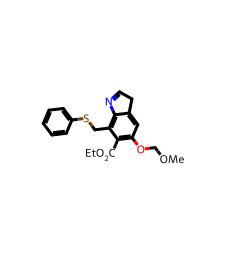 CCOC(=O)c1c(OCOC)cc2c(c1CSc1ccccc1)N=CC2